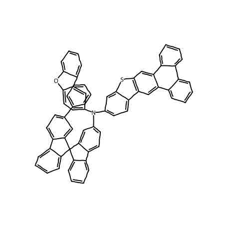 c1ccc(-c2ccc3c(c2)C2(c4ccccc4-3)c3ccccc3-c3ccc(N(c4ccc5c(c4)sc4cc6c7ccccc7c7ccccc7c6cc45)c4ccc5oc6ccccc6c5c4)cc32)cc1